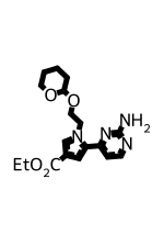 CCOC(=O)c1cc(-c2ccnc(N)n2)n(CCOC2CCCCO2)c1